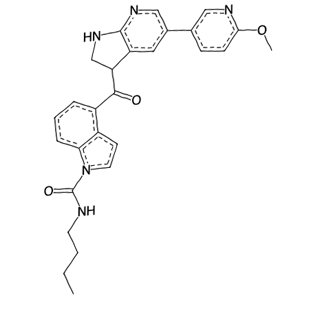 CCCCNC(=O)n1ccc2c(C(=O)C3CNc4ncc(-c5ccc(OC)nc5)cc43)cccc21